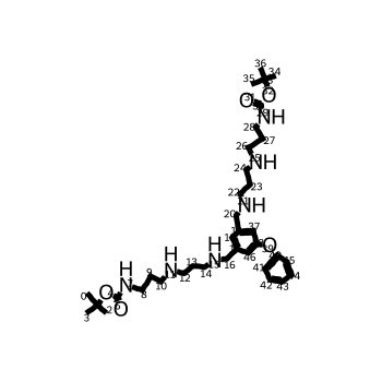 CC(C)(C)OC(=O)NCCCNCCCNCc1cc(CNCCCNCCCNC(=O)OC(C)(C)C)cc(Oc2ccccc2)c1